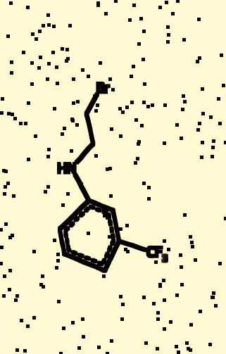 FC(F)(F)c1cccc(NCCBr)c1